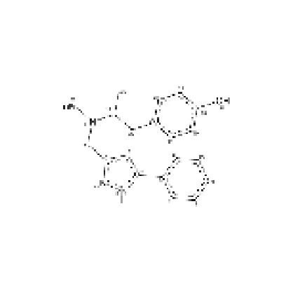 CCCN(Cc1cc(-c2ccccc2)[nH]n1)C(C)Cc1ccc(O)cc1